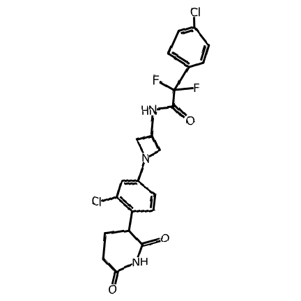 O=C1CCC(c2ccc(N3CC(NC(=O)C(F)(F)c4ccc(Cl)cc4)C3)cc2Cl)C(=O)N1